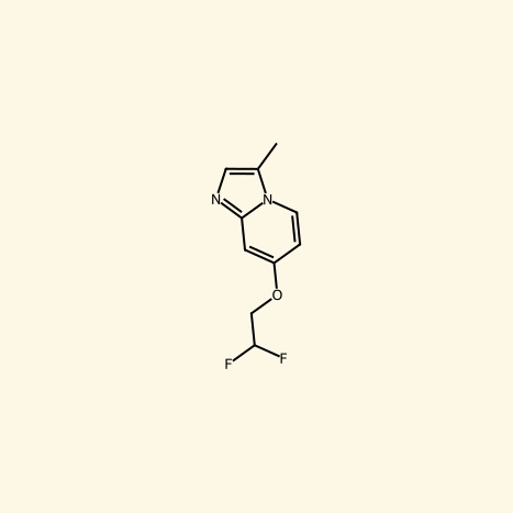 Cc1cnc2cc(OCC(F)F)ccn12